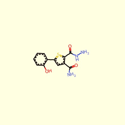 NNC(=O)c1sc(-c2ccccc2O)cc1C(N)=O